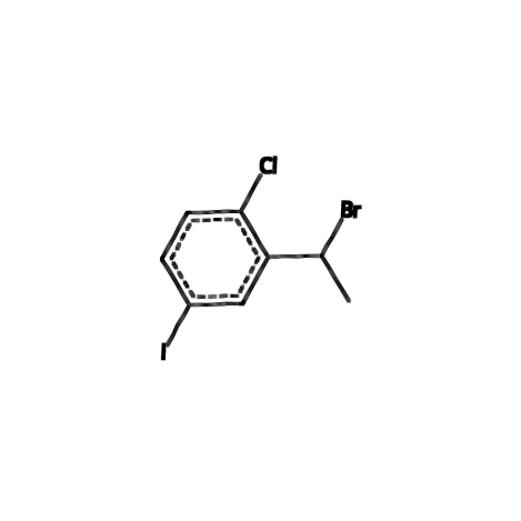 CC(Br)c1cc(I)ccc1Cl